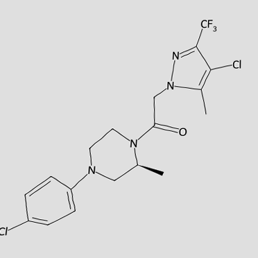 Cc1c(Cl)c(C(F)(F)F)nn1CC(=O)N1CCN(c2ccc(Cl)cc2)C[C@@H]1C